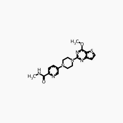 CNC(=O)c1ccc(N2CCN(c3nc(OC)c4sccc4n3)CC2)cn1